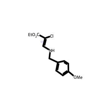 CCOC(=O)/C(Cl)=C/NCc1ccc(OC)cc1